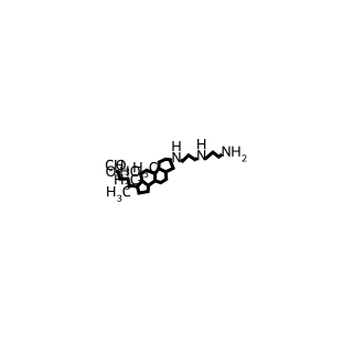 COC(=O)CC[C@@H](C)C1CCC2C3CCC4C[C@@H](NCCCNCCCN)CC[C@]4(C)C3C[C@H](O)[C@@]21C